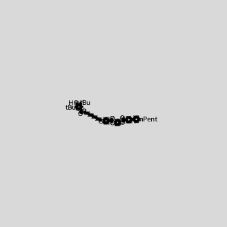 CCCCCC1CCC(C2CCC(C(=O)Oc3ccc(OC(=O)c4ccc(OCCCCCCCCOC(=O)c5cc(C(C)(C)C)c(O)c(C(C)(C)C)c5)cc4)cc3)CC2)CC1